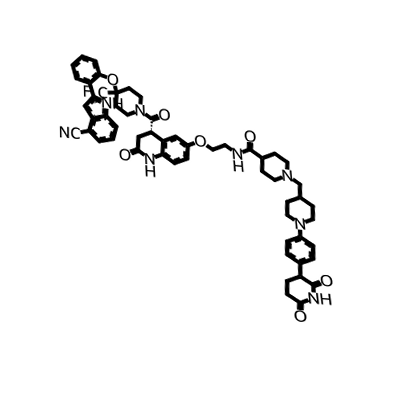 N#Cc1cccc2[nH]c(-c3ccccc3OC3(C(F)(F)F)CCN(C(=O)[C@H]4CC(=O)Nc5ccc(OCCNC(=O)C6CCN(CC7CCN(c8ccc(C9CCC(=O)NC9=O)cc8)CC7)CC6)cc54)CC3)cc12